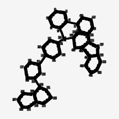 c1ccc(-c2ccccc2N(c2ccc(-c3cccc(-c4cccc5ccccc45)c3)cc2)c2ccc3sc4ccccc4c3c2)cc1